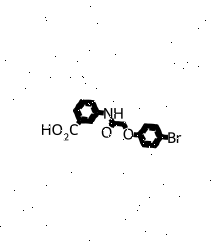 O=C(COc1ccc(Br)cc1)Nc1cccc(C(=O)O)c1